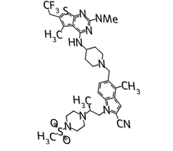 CNc1nc(NC2CCN(Cc3ccc4c(cc(C#N)n4C[C@H](C)N4CCN(S(C)(=O)=O)CC4)c3C)CC2)c2c(C)c(CC(F)(F)F)sc2n1